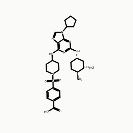 Cl.Cl.N[C@H]1CC[C@H](Nc2nc(NC3CCN(S(=O)(=O)c4ccc(C(=O)O)cc4)CC3)c3ncn(C4CCCC4)c3n2)CC1